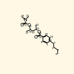 CCCCc1ccc(C(=O)OC(C)CC(C)OC(=O)N(C)C)cc1